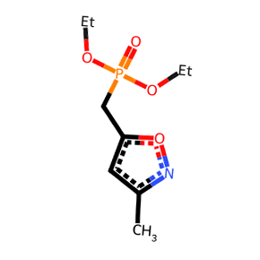 CCOP(=O)(Cc1cc(C)no1)OCC